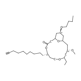 C#CCCCCCCCC[C@H]1CCOC(CC)C[C@@H](OC)CC2C[C@H](OCCCC)CC(CC(=O)O1)O2